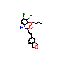 CCCCOc1c(NC(=O)/C=C/c2ccc3c(c2)COC3)ccc(F)c1F